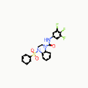 O=C(Nc1cc(F)c(F)c(F)c1)N1CCN(S(=O)(=O)c2ccccc2)c2ccccc21